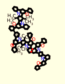 CC(C)c1c2c3c4oc5cccc(-c6ccc7c(c6)c6cc8oc9ccccc9c8c8c9c(C(C)C)c%10c(c(C(C)C)c9n7c68)c6c7c(oc8ccccc87)c(-c7cc8c9ccccc9oc8c8c7c7cccc9c%11cc%12c(cc%11n8c97)c7cccc8c9ccc%11c%13ccccc%13oc%11c9n%12c78)c7c8ccccc8n%10c76)c5c4cc4c5ccccc5n(c2c(C(C)C)c2c5c6oc7ccccc7c6cc6c7ccccc7n(c12)c65)c43